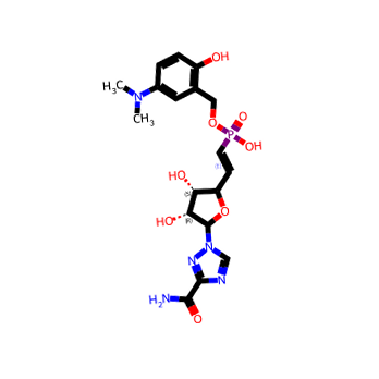 CN(C)c1ccc(O)c(COP(=O)(O)/C=C/C2OC(n3cnc(C(N)=O)n3)[C@H](O)[C@@H]2O)c1